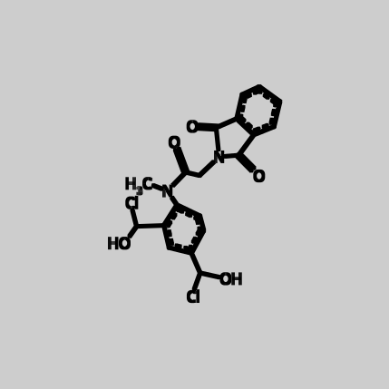 CN(C(=O)CN1C(=O)c2ccccc2C1=O)c1ccc(C(O)Cl)cc1C(O)Cl